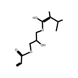 C=CC(=O)OCC(O)CO/C(O)=C(/C)C(C)C